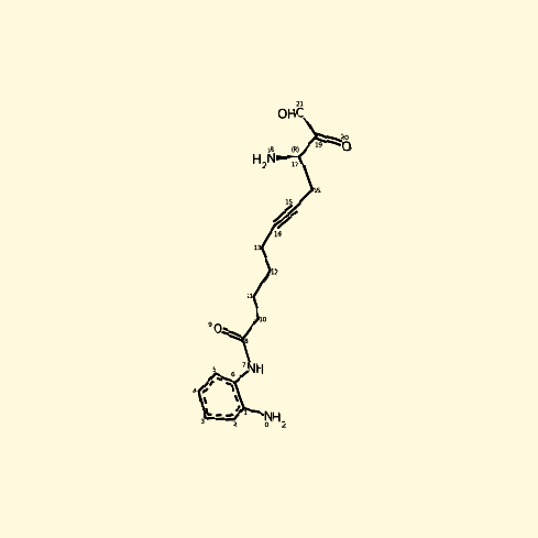 Nc1ccccc1NC(=O)CCCCC#CC[C@@H](N)C(=O)C=O